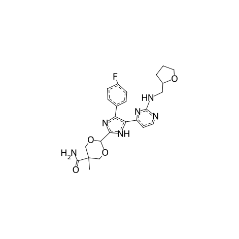 CC1(C(N)=O)COC(c2nc(-c3ccc(F)cc3)c(-c3ccnc(NCC4CCCO4)n3)[nH]2)OC1